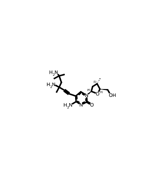 C[C@H]1C[C@H](n2cc(C#CC(C)(N)CC(C)(C)N)c(N)nc2=O)O[C@@H]1CO